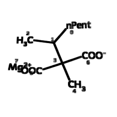 CCCCCC(C)C(C)(C(=O)[O-])C(=O)[O-].[Mg+2]